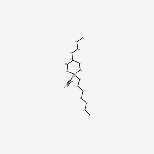 CCCCCCC[N+]1(C#N)CCC(CCCC)CC1